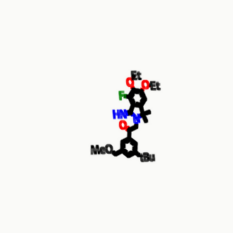 CCOc1cc2c(c(F)c1OCC)C(=N)N(CC(=O)c1cc(COC)cc(C(C)(C)C)c1)C2(C)C